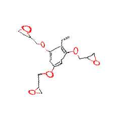 C=Cc1c(OCC2CO2)cc(OCC2CO2)cc1OCC1CO1